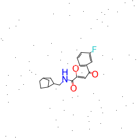 O=C(NCC1CC2CCC1C2)c1cc(=O)c2cc(F)ccc2o1